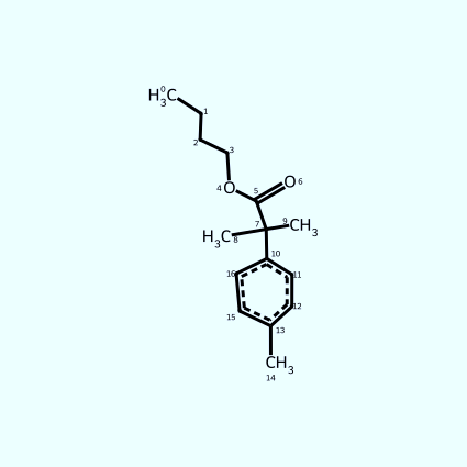 CCCCOC(=O)C(C)(C)c1ccc(C)cc1